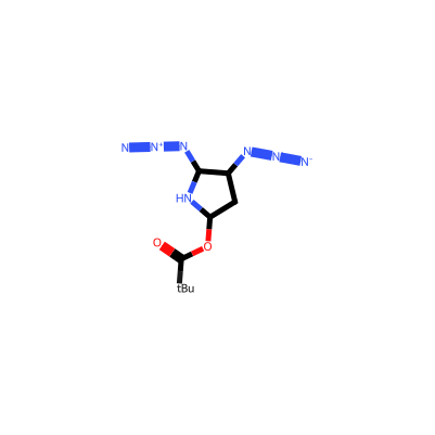 CC(C)(C)C(=O)OC1CC(N=[N+]=[N-])C(N=[N+]=[N-])N1